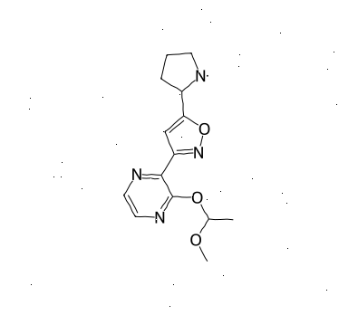 COC(C)Oc1nccnc1-c1cc(C2CCC[N]2)on1